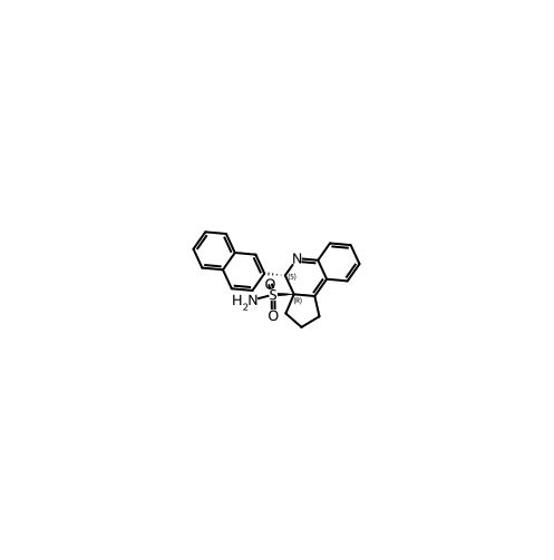 NS(=O)(=O)[C@]12CCCC1=c1ccccc1=N[C@H]2c1ccc2ccccc2c1